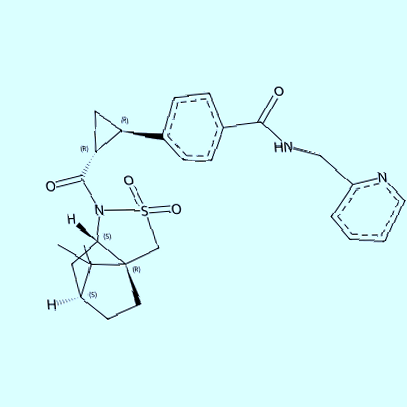 CC1(C)[C@H]2CC[C@@]13CS(=O)(=O)N(C(=O)[C@@H]1C[C@H]1c1ccc(C(=O)NCc4ccccn4)cc1)[C@H]3C2